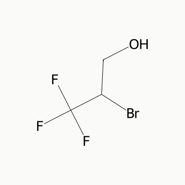 OCC(Br)C(F)(F)F